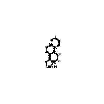 c1ccc2c(c1)ccc1c3cn[nH]c3ccc21